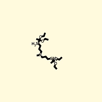 CCOC(C)(OCC)[SiH2]CCCN(C)CCC[SiH2]C(C)(OCC)OCC